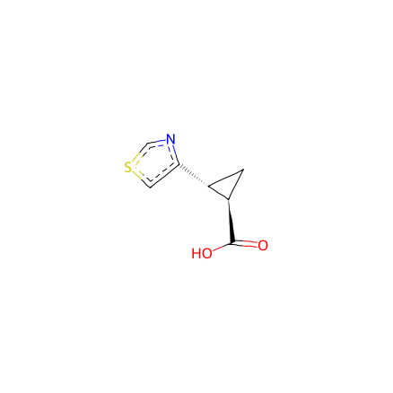 O=C(O)[C@@H]1C[C@H]1c1cscn1